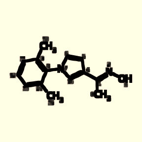 CC(=NO)c1ccn(-c2c(C)cccc2C)c1